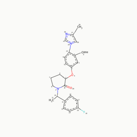 COc1cc(OC2CCCN(C(C)c3ccc(F)cc3)C2=O)ccc1-n1cnc(C)c1